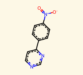 O=[N+]([O-])c1ccc(-c2ccncn2)cc1